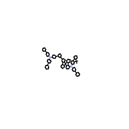 CC1(C)c2ccccc2-c2ccc(N(c3ccc(-c4ccccc4)cc3)c3cccc4c3-c3ccccc3C43c4ccccc4-c4cc(-c5cccc(-c6ccc(N(c7ccc(-c8ccccc8)cc7)c7ccc(-c8ccccc8)cc7)cc6)c5)ccc43)cc21